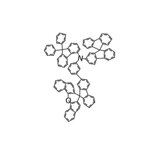 c1ccc(C2(c3ccccc3)c3ccccc3-c3c(N(c4cccc(-c5ccc6c(c5)C5(c7ccccc7-6)c6ccc7ccccc7c6Oc6c5ccc5ccccc65)c4)c4ccc5c(c4)C4(c6ccccc6-c6ccccc64)c4ccccc4-5)cccc32)cc1